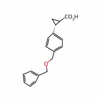 O=C(O)C1C[C@H]1c1ccc(COCc2ccccc2)cc1